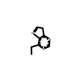 CCc1ncnc2c1N=CC2